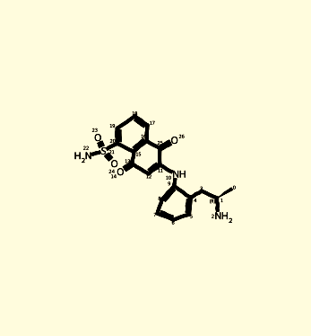 C[C@@H](N)Cc1ccccc1NC1=CC(=O)c2c(cccc2S(N)(=O)=O)C1=O